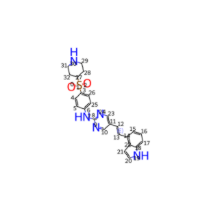 O=S(=O)(c1ccc(Nc2ncc(/C=C/c3cccc4[nH]ccc34)cn2)cc1)C1CCNCC1